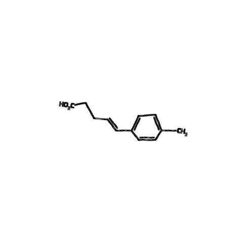 Cc1ccc(/C=C/CCC(=O)O)cc1